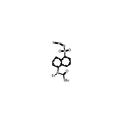 CCN(C(=O)C(C)(C)C)c1cccc2c(S(=O)(=O)N=[N+]=[N-])cccc12